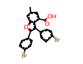 Cc1cc(C(=O)O)c2c(-c3ccc(Br)cc3)c(-c3ccc(Br)cc3)oc2c1